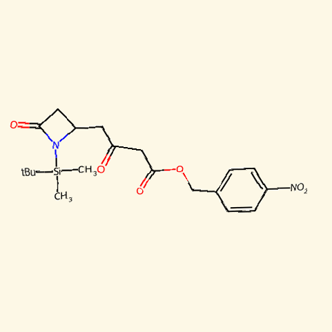 CC(C)(C)[Si](C)(C)N1C(=O)CC1CC(=O)CC(=O)OCc1ccc([N+](=O)[O-])cc1